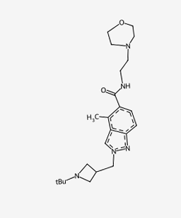 Cc1c(C(=O)NCCN2CCOCC2)ccc2nn(CC3CN(C(C)(C)C)C3)cc12